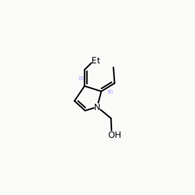 C/C=c1\c(=C/CC)ccn1CO